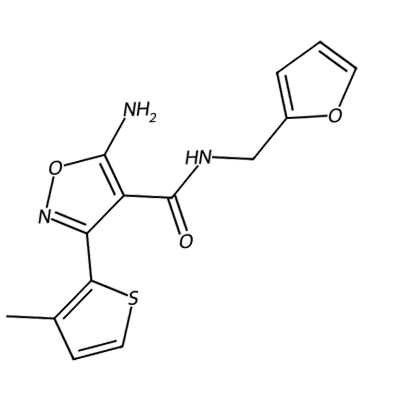 Cc1ccsc1-c1noc(N)c1C(=O)NCc1ccco1